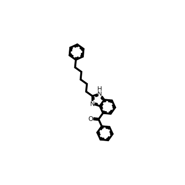 O=C(c1ccccc1)c1cccc2[nH]c(CCCCCc3ccccc3)nc12